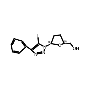 OC[C@@H]1CC[C@H](n2nnc(-c3ccccc3)c2I)O1